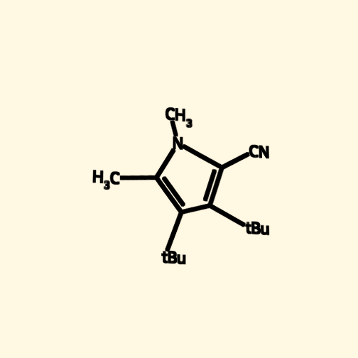 Cc1c(C(C)(C)C)c(C(C)(C)C)c(C#N)n1C